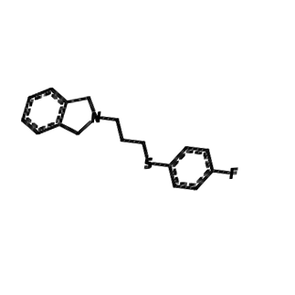 Fc1ccc(SCCCN2Cc3ccccc3C2)cc1